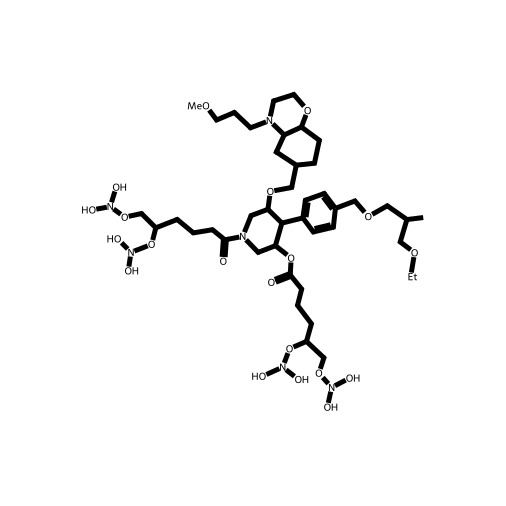 CCOCC(C)COCc1ccc(C2C(OCC3CCC4OCCN(CCCOC)C4C3)CN(C(=O)CCCC(CON(O)O)ON(O)O)CC2OC(=O)CCCC(CON(O)O)ON(O)O)cc1